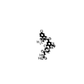 CCS(=O)(=O)c1ccc(Cl)cc1CNC(=O)c1cc(Cl)c(CN2CCN(C(=O)CNC(=O)O)CC2)c(C(F)(F)F)c1